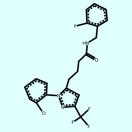 O=C(CCCc1cc(C(F)(F)F)nn1-c1ccccc1Cl)NCc1ccccc1F